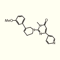 COc1cccc(C2=CCCN(c3nc(-c4ccncc4)cc(=O)n3C)C2)c1